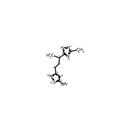 Cc1nsc(C(C)CCc2cc(C(C)C)sn2)n1